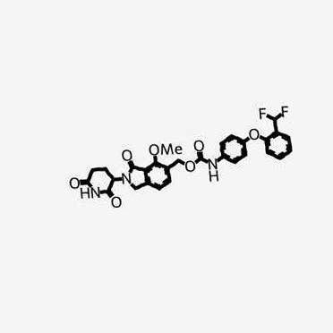 COc1c(COC(=O)Nc2ccc(Oc3ccccc3C(F)F)cc2)ccc2c1C(=O)N(C1CCC(=O)NC1=O)C2